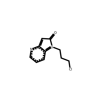 O=C1C=c2ncccc2=S1CCCCl